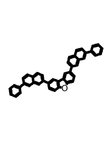 c1ccc(-c2ccc3ccc(-c4ccc5oc6ccc(-c7ccc8ccc(-c9ccccc9)cc8c7)cc6c5c4)cc3c2)cc1